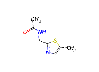 CC(=O)NCc1ncc(C)s1